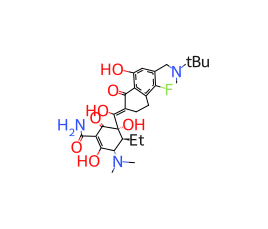 CC[C@H]1[C@H](N(C)C)C(O)=C(C(N)=O)C(=O)[C@@]1(O)/C(O)=C1\CCc2c(F)c(CN(C)C(C)(C)C)cc(O)c2C1=O